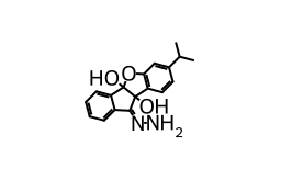 CC(C)c1ccc2c(c1)OC1(O)c3ccccc3C(=NN)C21O